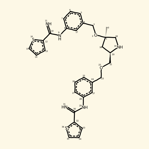 C[C@]1(OCc2cccc(NC(=N)c3cccs3)c2)CN[C@@H](COCc2cccc(NC(=N)c3cccs3)c2)C1